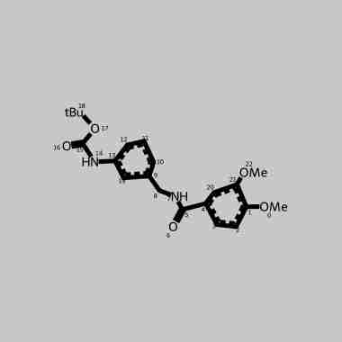 COc1ccc(C(=O)NCc2cccc(NC(=O)OC(C)(C)C)c2)cc1OC